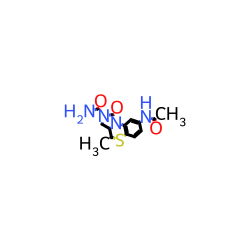 CC(=O)Nc1ccc2c(c1)N1C(=O)N(C(N)=O)CC1C(C)S2